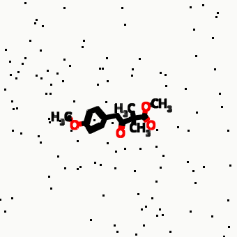 COC(=O)C(C)(C)C(=O)Cc1ccc(OC)cc1